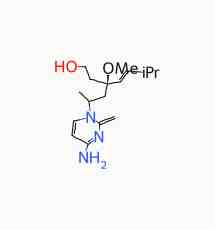 C=C1N=C(N)C=CN1C(C)C[C@@](/C=C/C(C)C)(CCO)OC